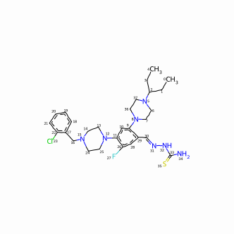 CCC(CC)N1CCN(c2cc(N3CCN(Cc4ccccc4Cl)CC3)c(F)cc2C=NNC(N)=S)CC1